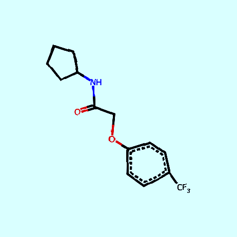 O=C(COc1ccc(C(F)(F)F)cc1)NC1CCCC1